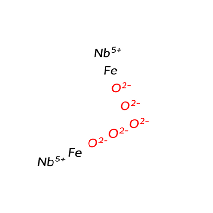 [Fe].[Fe].[Nb+5].[Nb+5].[O-2].[O-2].[O-2].[O-2].[O-2]